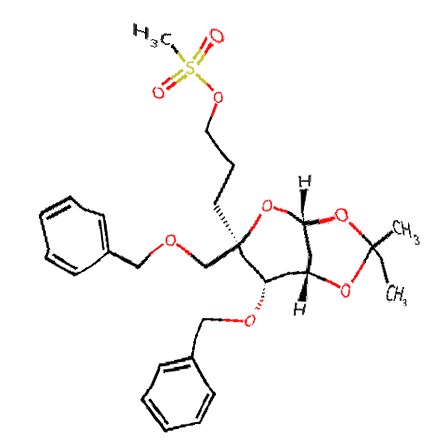 CC1(C)O[C@H]2O[C@](CCCOS(C)(=O)=O)(COCc3ccccc3)[C@@H](OCc3ccccc3)[C@H]2O1